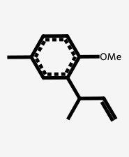 C=C[C](C)c1cc(C)ccc1OC